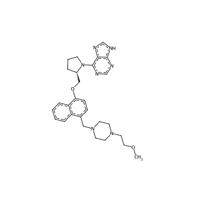 COCCN1CCN(Cc2ccc(OC[C@H]3CCCN3c3ncnc4[nH]cnc34)c3ccccc23)CC1